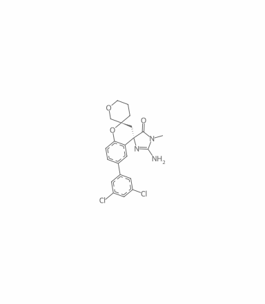 CN1C(=O)[C@@]2(C[C@@]3(CCCOC3)Oc3ccc(-c4cc(Cl)cc(Cl)c4)cc32)N=C1N